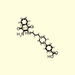 NC1=C(NCCCN2CCN(c3ccc(C(=O)O)cc3)CC2)C(=O)c2ccccc2C1=O